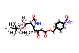 C[C@@H](O[Si](C)(C)C(C)(C)C)[C@H]1C(=O)N[C@@H]1[C@@H](C)C(=O)CC(=O)OCc1ccc([N+](=O)[O-])cc1